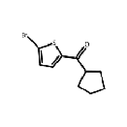 O=C(c1ccc(Br)s1)C1CCCC1